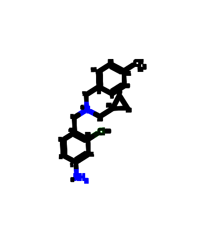 Nc1ccc(CN(Cc2ccc(C(F)(F)F)cc2)CC2CC2)c(Cl)c1